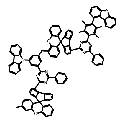 Cc1ccc2c(c1)Oc1ccccc1C21c2ccccc2-c2c(-c3nc(-c4ccccc4)nc(-c4cc(Cc5cccc6c5Oc5ccccc5C65c6ccccc6-c6c(-c7nc(-c8ccccc8)cc(-c8c(C)c(C)c(-c9cccc%10sc%11ccccc%11c9%10)c(C)c8C)n7)cccc65)cc(-n5c6ccccc6c6ccccc65)c4)n3)cccc21